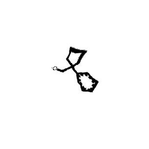 [O]CC1(c2ccccc2)CCCC1